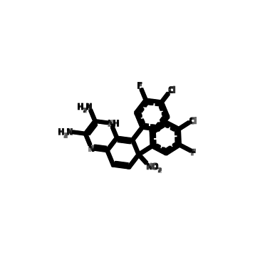 NC1=C(N)NC2=C(c3ccc(Cl)c(F)c3)C(c3ccc(Cl)c(F)c3)([N+](=O)[O-])C=CC2=N1